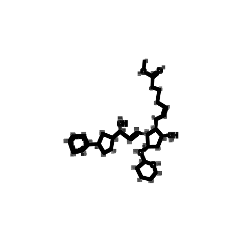 COC(=O)CCC/C=C\C[C@@H]1[C@@H](/C=C/[C@@H](O)C2CCC(c3ccccc3)C2)[C@H](OC2CCCCO2)C[C@@H]1O